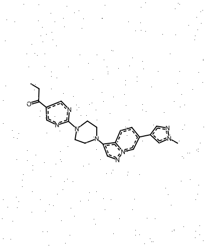 CCC(=O)c1cnc(N2CCN(c3cnn4cc(-c5cnn(C)c5)ccc34)CC2)nc1